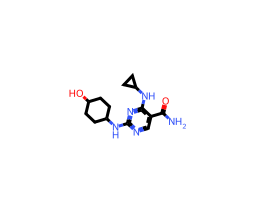 NC(=O)c1cnc(NC2CCC(O)CC2)nc1NC1CC1